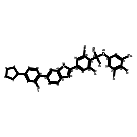 Fc1cc(C2CCCC2)ccc1-c1ccc2nc(-c3cc(F)c(C(F)(F)Oc4cc(F)c(F)c(F)c4)c(F)c3)sc2c1